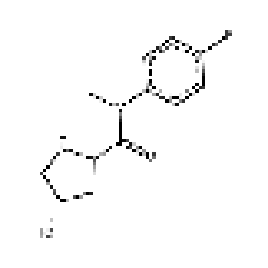 CN(C(=O)C1C[C@H](O)CN1)c1ccc(F)cc1